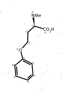 CN[C@H](CCOc1ccccc1)C(=O)O